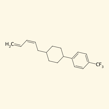 C=C/C=C\CC1CCC(c2ccc(C(F)(F)F)cc2)CC1